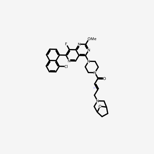 COc1nc(N2CCN(C(=O)/C=C/CN3CC4CCC(C3)O4)CC2)c2cnc(-c3cccc4cccc(Cl)c34)c(F)c2n1